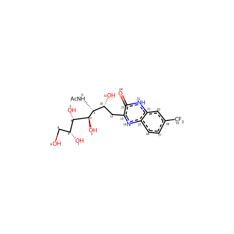 CC(=O)N[C@@H]([C@@H](O)[C@@H](O)[C@H](O)CO)[C@H](O)Cc1nc2ccc(C(F)(F)F)cc2[nH]c1=O